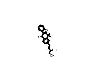 CC1(C)c2cc(CCC(O)CO)ccc2C(=O)c2c1oc1ccccc21